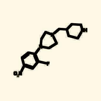 O=[N+]([O-])c1ccc(N2CCN(CC3CCNCC3)CC2)c(F)c1